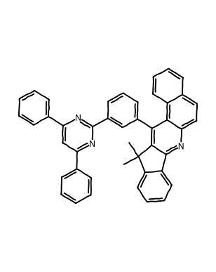 CC1(C)c2ccccc2-c2nc3ccc4ccccc4c3c(-c3cccc(-c4nc(-c5ccccc5)cc(-c5ccccc5)n4)c3)c21